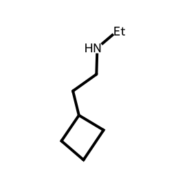 [CH2]CNCCC1CCC1